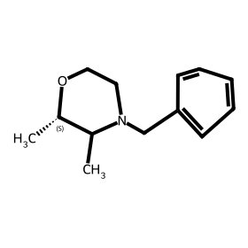 CC1[C@H](C)OCCN1Cc1ccccc1